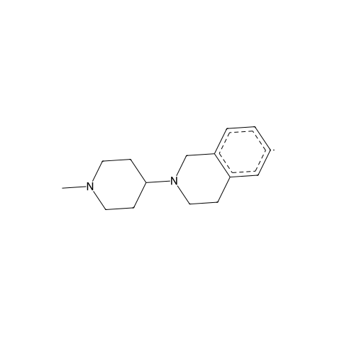 CN1CCC(N2CCc3c[c]ccc3C2)CC1